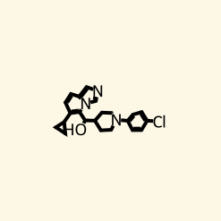 OC(c1c(C2CC2)ccc2cncn12)C1CCN(c2ccc(Cl)cc2)CC1